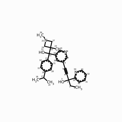 CCC(O)(C#Cc1cncc(C(O)(c2ccc(C(C)C)cc2)C2(C)CN(C)C2)c1)c1ccccn1